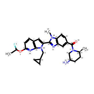 CC(F)Oc1ccc2cc(-c3nc4cc(C(=O)N5C[C@H](N)CC[C@@H]5C)ccc4n3C)n(CC3CC3)c2n1